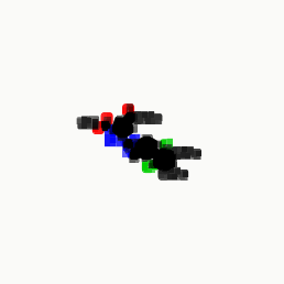 COC(=O)C1C[C@H](NC(=O)OC(C)(C)C)[C@H](Nc2ncc3cc(-c4c(Cl)c(OC)cc(OC)c4Cl)ccc3n2)C1